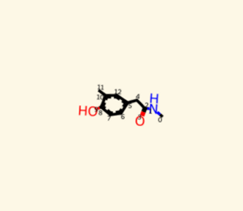 CNC(=O)Cc1ccc(O)c(C)c1